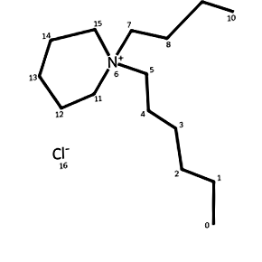 CCCCCC[N+]1(CCCC)CCCCC1.[Cl-]